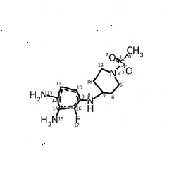 CS(=O)(=O)N1CCC(Nc2ccc(N)c(N)c2F)CC1